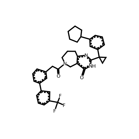 O=C(Cc1cccc(-c2cccc(C(F)(F)F)c2)c1)N1CCCc2nc(C3(c4cccc(C5CCCCC5)c4)CC3)[nH]c(=O)c2C1